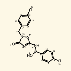 O=c1nc(NC(O)c2ccc(Cl)cc2)sn1Cc1ccc(Cl)cc1